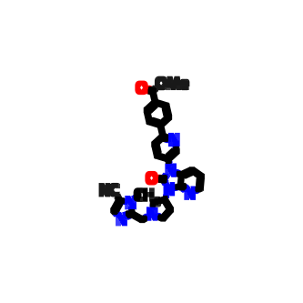 COC(=O)c1ccc(-c2ccc(-n3c(=O)n([C@H]4CCN(Cc5ncc(C#N)n5C)C4)c4ncccc43)cn2)cc1